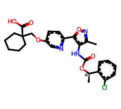 Cc1noc(-c2ccc(OCC3(C(=O)O)CCCCC3)cn2)c1NC(=O)O[C@H](C)c1ccccc1Cl